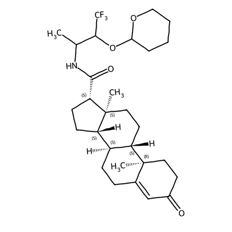 CC(NC(=O)[C@H]1CC[C@H]2[C@@H]3CCC4=CC(=O)CC[C@]4(C)[C@H]3CC[C@]12C)C(OC1CCCCO1)C(F)(F)F